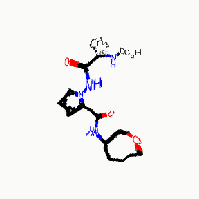 C[C@H](NC(=O)O)C(=O)Nn1cccc1C(=O)NC1CCCOC1